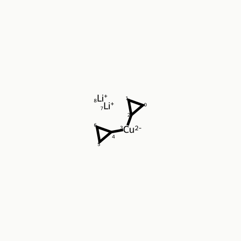 C1C[CH]1[Cu-2][CH]1CC1.[Li+].[Li+]